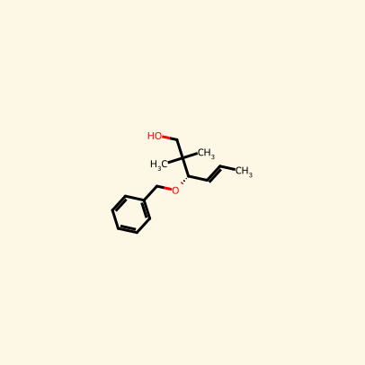 C/C=C/[C@H](OCc1ccccc1)C(C)(C)CO